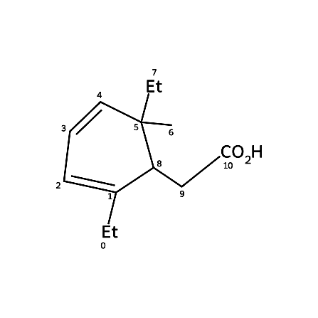 CCC1=CC=CC(C)(CC)C1CC(=O)O